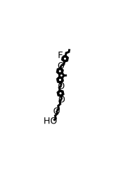 CCCc1ccc(COc2ccc3c(c2)C(C)c2cc(OCc4ccc(OCCCCOCCCO)cc4)ccc2-3)cc1F